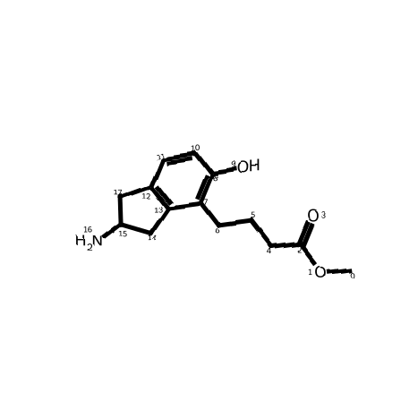 COC(=O)CCCc1c(O)ccc2c1CC(N)C2